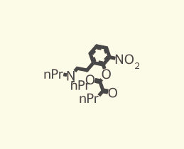 CCCC(=O)C(=O)Oc1c(CCN(CCC)CCC)cccc1[N+](=O)[O-]